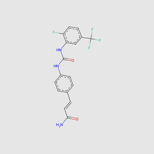 NC(=O)C=Cc1ccc(NC(=O)Nc2cc(C(F)(F)F)ccc2F)cc1